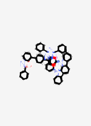 c1ccc(-c2nc(-c3ccccc3)nc(-c3cccc(-n4c5ccccc5c5ccc6c7ccccc7n(-c7ccc(-c8ccc(-c9cccc%10nc(-c%11ccccc%11)oc9%10)cc8)cc7)c6c54)c3)n2)cc1